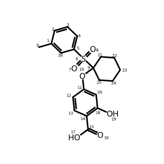 Cc1cccc(S(=O)(=O)C2(Oc3ccc(C(=O)O)c(O)c3)CCCCC2)c1